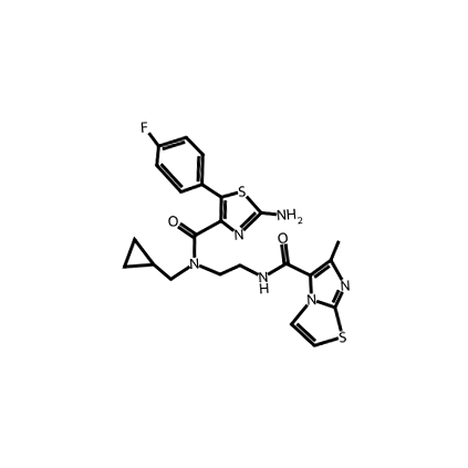 Cc1nc2sccn2c1C(=O)NCCN(CC1CC1)C(=O)c1nc(N)sc1-c1ccc(F)cc1